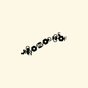 CCC(C)n1cnn(-c2ccc(N3CCN(c4ccc(OC[C@@H]5CO[C@@H](c6ccc(F)cc6F)O5)cc4)CC3)cc2)c1=O